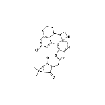 CC1(C)C2C(=O)N(Cc3cc4nccc(-c5cc(Cl)cc6c5N(C5CNC5)CCC6)c4s3)C(=O)C21